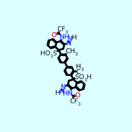 [H]/N=N/C1=C(NC(=O)C(F)(F)F)c2ccccc2C(c2ccc(-c3ccc(C4(S(=O)(=O)O)CC(/N=N/[H])=C(NC(=O)C(F)(F)F)c5ccccc54)c(C)c3)cc2C)(S(=O)(=O)O)C1